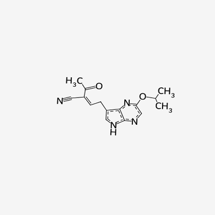 CC(=O)C(C#N)=CCc1c[nH]c2ncc(OC(C)C)nc12